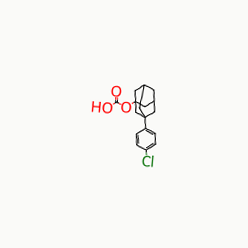 O=C(O)OC12CC3CC(C1)CC(c1ccc(Cl)cc1)(C3)C2